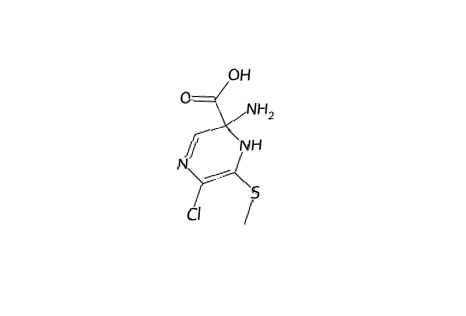 CSC1=C(Cl)N=CC(N)(C(=O)O)N1